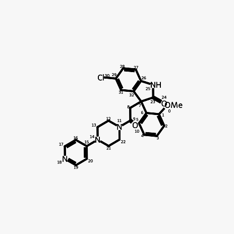 COc1ccccc1C1(CC(=O)N2CCN(c3ccncc3)CC2)C(=O)Nc2ccc(Cl)cc21